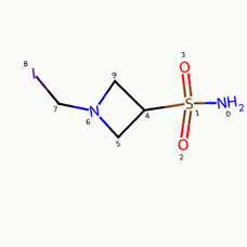 NS(=O)(=O)C1CN(CI)C1